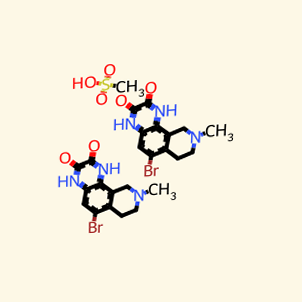 CN1CCc2c(Br)cc3[nH]c(=O)c(=O)[nH]c3c2C1.CN1CCc2c(Br)cc3[nH]c(=O)c(=O)[nH]c3c2C1.CS(=O)(=O)O